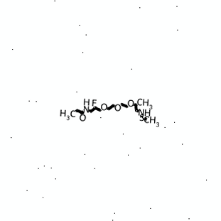 CCC(=O)NCC(F)COCCOCCOC(C)CNSC